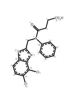 O=C(O)CCC(=O)N(Cc1nc2c(Cl)c(Cl)ccc2s1)c1ccccc1